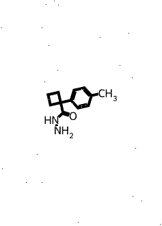 Cc1ccc(C2(C(=O)NN)CCC2)cc1